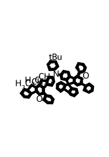 CC(C)(C)c1ccc(N(c2ccc3c(c2)C(C)(C)c2c4c(c5oc6ccccc6c5c2-3)-c2ccccc2C4(C)C)c2ccc3c(c2)C2(c4ccccc4-c4ccccc42)c2cc(-c4ccccc4)c4oc5ccccc5c4c2-3)cc1